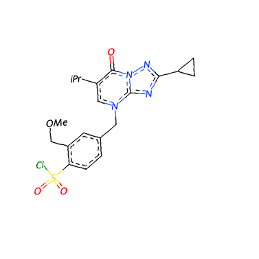 COCc1cc(Cn2cc(C(C)C)c(=O)n3nc(C4CC4)nc23)ccc1S(=O)(=O)Cl